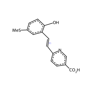 CSc1ccc(O)c(/C=C/c2ccc(C(=O)O)cn2)c1